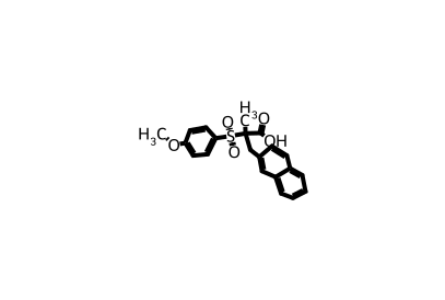 COc1ccc(S(=O)(=O)C(C)(Cc2ccc3ccccc3c2)C(=O)O)cc1